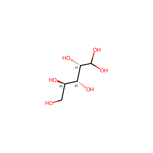 OC[C@@H](O)[C@@H](O)[C@H](O)C(O)O